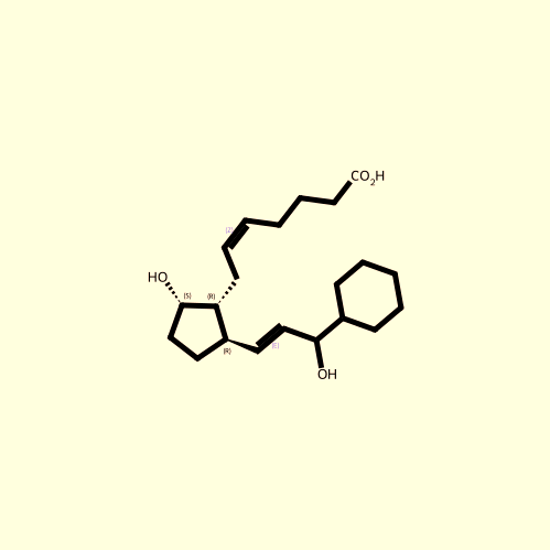 O=C(O)CCC/C=C\C[C@H]1[C@@H](O)CC[C@@H]1/C=C/C(O)C1CCCCC1